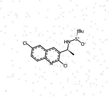 C[C@H](N[S@@+]([O-])C(C)(C)C)c1cc2cc(Cl)ccc2nc1Cl